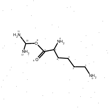 NCCCCC(N)C(=O)OC(N)N